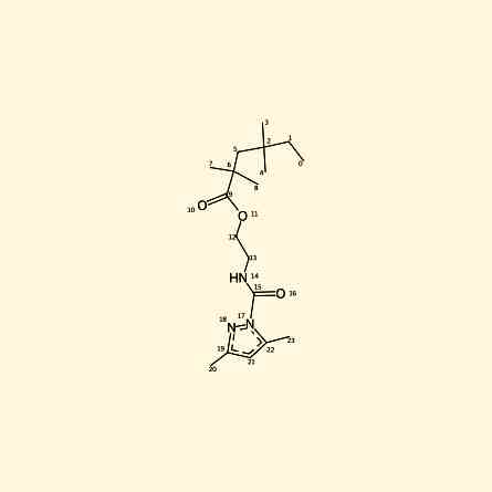 CCC(C)(C)CC(C)(C)C(=O)OCCNC(=O)n1nc(C)cc1C